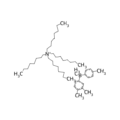 CB(c1ccc(C)cc1)c1ccc(C)c(C)c1.CCCCCCCC[N+](CCCCCCCC)(CCCCCCCC)CCCCCCCC